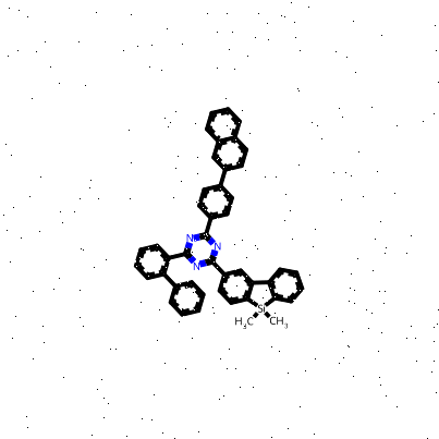 C[Si]1(C)c2ccccc2-c2cc(-c3nc(-c4ccc(-c5ccc6ccccc6c5)cc4)nc(-c4ccccc4-c4ccccc4)n3)ccc21